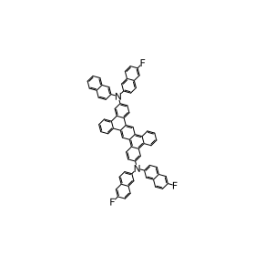 Fc1ccc2cc(N(c3ccc4ccccc4c3)c3ccc4c(c3)c3ccccc3c3cc5c6ccc(N(c7ccc8cc(F)ccc8c7)c7ccc8cc(F)ccc8c7)cc6c6ccccc6c5cc43)ccc2c1